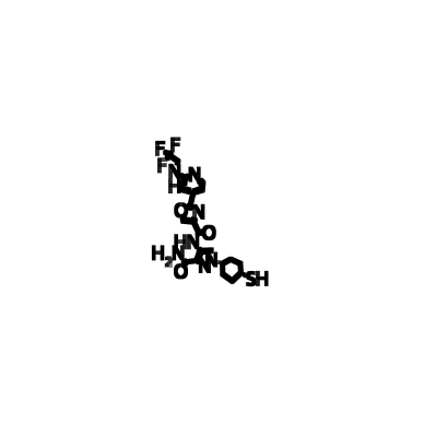 NC(=O)c1nn([C@H]2CC[C@H](S)CC2)cc1NC(=O)c1coc(-c2ccnc(NCC(F)(F)F)c2)n1